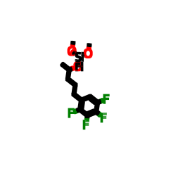 CO[SiH](OC)OC(C)CCCc1cc(F)c(F)c(F)c1F